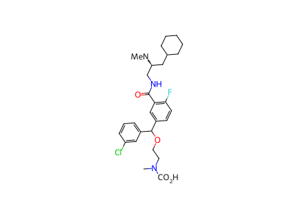 CN[C@H](CNC(=O)c1cc(C(OCCN(C)C(=O)O)c2cccc(Cl)c2)ccc1F)CC1CCCCC1